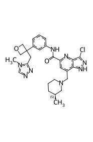 C[C@H]1CCCN(Cc2cc(C(=O)Nc3cccc(C4(Cc5nncn5C)COC4)c3)nc3c(Cl)n[nH]c23)C1